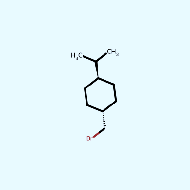 CC(C)[C@H]1CC[C@H](CBr)CC1